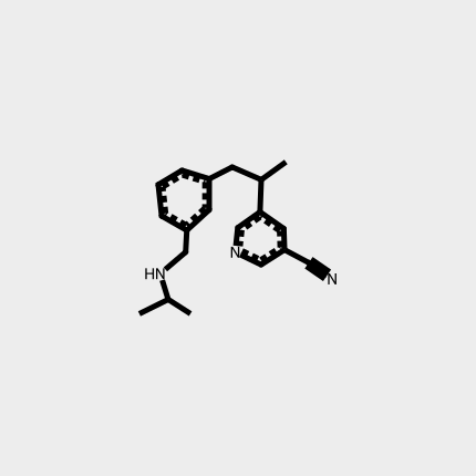 CC(C)NCc1cccc(CC(C)c2cncc(C#N)c2)c1